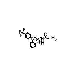 C=CC(=O)NC[C@H]1CN(c2ccc(C(F)(F)F)cc2)c2ccccc2N1